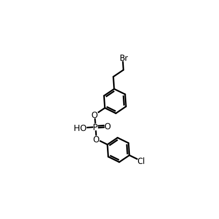 O=P(O)(Oc1ccc(Cl)cc1)Oc1cccc(CCBr)c1